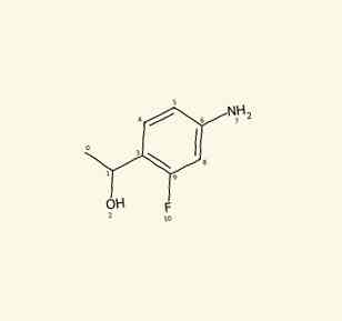 CC(O)c1ccc(N)cc1F